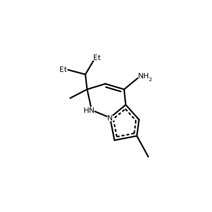 CCC(CC)C1(C)C=C(N)c2cc(C)cn2N1